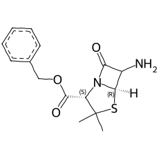 CC1(C)S[C@@H]2C(N)C(=O)N2[C@H]1C(=O)OCc1ccccc1